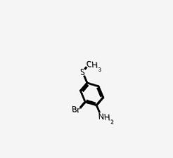 CSc1ccc(N)c(Br)c1